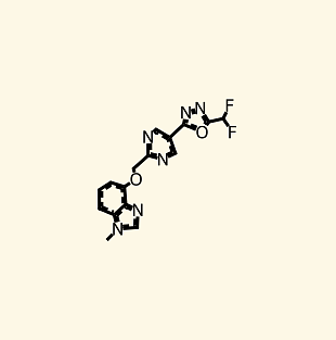 Cn1cnc2c(OCc3ncc(-c4nnc(C(F)F)o4)cn3)cccc21